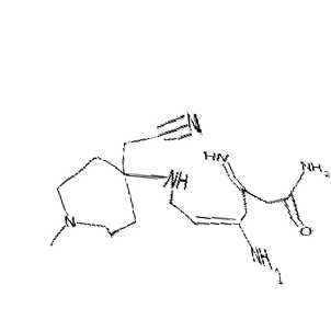 CN1CCC(CC#N)(N/C=C(/N)C(=N)C(N)=O)CC1